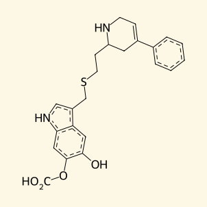 O=C(O)Oc1cc2[nH]cc(CSCCC3CC(c4ccccc4)=CCN3)c2cc1O